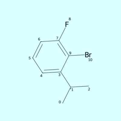 C[C](C)c1cccc(F)c1Br